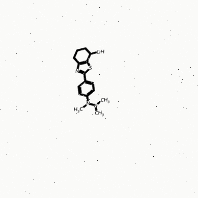 CN(C)N(C)c1ccc(-c2nc3c(s2)C(O)CCC3)cc1